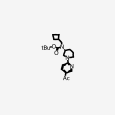 CC(=O)c1ccc(N2CCC[C@@H](N(CC3CCC3)C(=O)OC(C)(C)C)C2)nc1